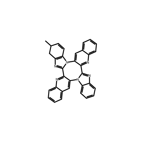 CC1C=Cc2c(nc3c4nc5ccccc5cc4n4c5ccccc5nc4c4nc5ccccc5cc4n23)C1